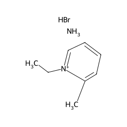 Br.CC[n+]1ccccc1C.N